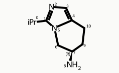 CC(C)c1ncc2n1C[C@H](N)CC2